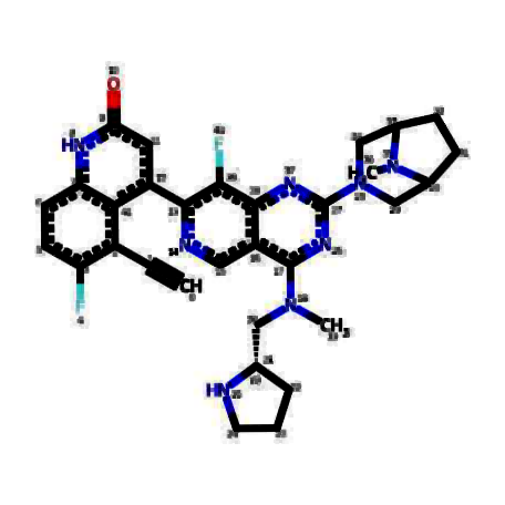 C#Cc1c(F)ccc2[nH]c(=O)cc(-c3ncc4c(N(C)C[C@@H]5CCCN5)nc(N5CC6CCC(C5)N6C)nc4c3F)c12